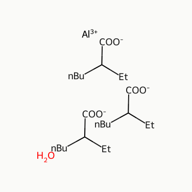 CCCCC(CC)C(=O)[O-].CCCCC(CC)C(=O)[O-].CCCCC(CC)C(=O)[O-].O.[Al+3]